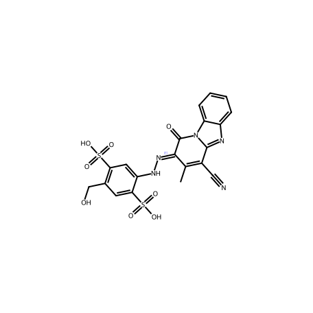 CC1=C(C#N)c2nc3ccccc3n2C(=O)/C1=N/Nc1cc(S(=O)(=O)O)c(CO)cc1S(=O)(=O)O